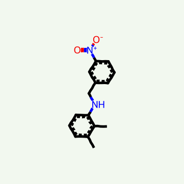 Cc1cccc(NCc2cccc([N+](=O)[O-])c2)c1C